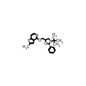 Cc1cc2c(OCC3CN(C(C)(C)C)[C@@H](c4ccccc4)O3)nccc2s1